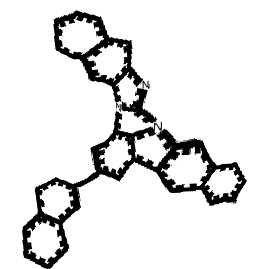 c1ccc2cc(-c3cc4c5cc6ccccc6cc5n5c4c(c3)n3c4cc6ccccc6cc4nc35)ccc2c1